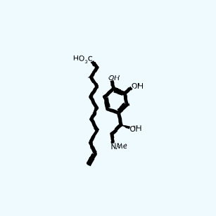 C=CCCCCCCCCC(=O)O.CNC[C@H](O)c1ccc(O)c(O)c1